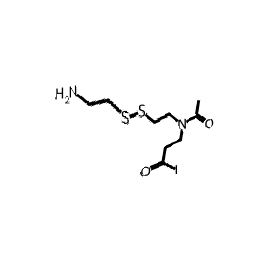 CC(=O)N(CCSSCCN)CCC(=O)I